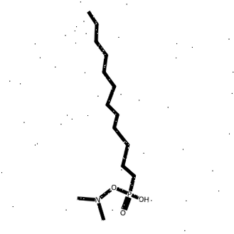 CCCCCCCCCCCCP(=O)(O)ON(C)C